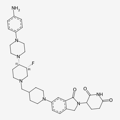 Nc1ccc(N2CCN([C@H]3CCN(CC4CCN(c5ccc6c(c5)C(=O)N(C5CCC(=O)NC5=O)C6)CC4)C[C@H]3F)CC2)cc1